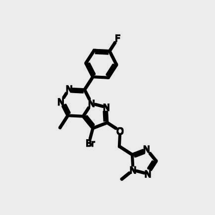 Cc1nnc(-c2ccc(F)cc2)n2nc(OCc3ncnn3C)c(Br)c12